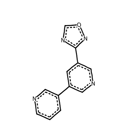 c1cncc(-c2cncc(-c3ncon3)c2)c1